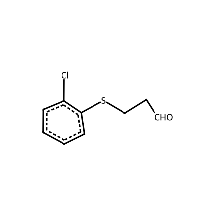 O=CCCSc1ccccc1Cl